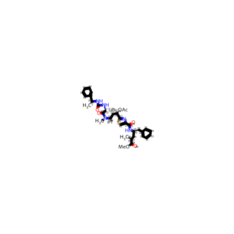 CC[C@H](C)[C@H](NC(=O)N[C@@H](C)c1ccccc1)C(=O)N(C)[C@H](C[C@@H](OC(C)=O)c1nc(C(=O)N[C@@H](Cc2ccccc2)C[C@H](C)C(=O)OC)cs1)C(C)C